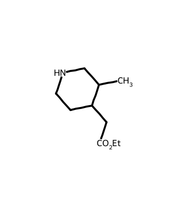 CCOC(=O)CC1CCNCC1C